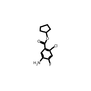 Nc1cc(C(=O)OC2CCCC2)c(Cl)cc1F